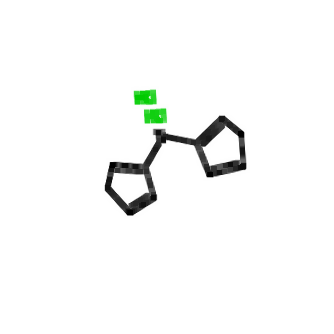 C1=C[C]([Ti][C]2=CCC=C2)=CC1.Cl.Cl